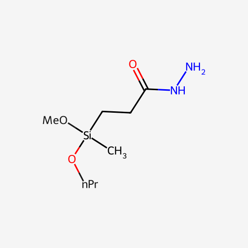 CCCO[Si](C)(CCC(=O)NN)OC